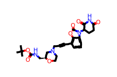 CC(C)(C)OC(=O)NC[C@H]1CN(CC#Cc2cccc3c2oc(=O)n3C2CCC(=O)NC2=O)CCO1